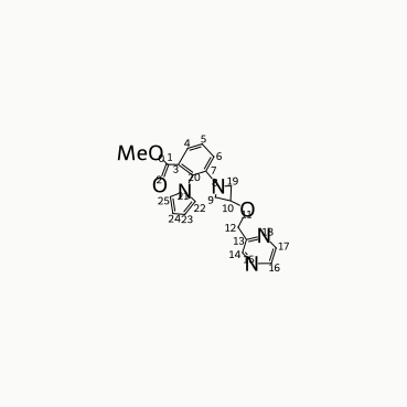 COC(=O)c1cccc(N2CC(OCc3cnccn3)C2)c1-n1cccc1